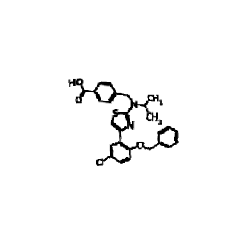 CC(C)N(Cc1ccc(C(=O)O)cc1)c1nc(-c2cc(Cl)ccc2OCc2ccccc2)cs1